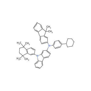 CC1(C)CCC(C)(C)c2cc(-n3c4ccccc4c4ccc(N(c5ccc(C6CCCCC6)cc5)c5ccc6c(c5)C(C)(C)c5ccccc5-6)cc43)ccc21